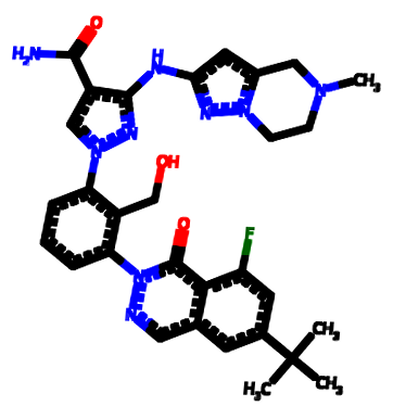 CN1CCn2nc(Nc3nn(-c4cccc(-n5ncc6cc(C(C)(C)C)cc(F)c6c5=O)c4CO)cc3C(N)=O)cc2C1